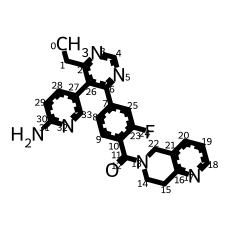 CCc1ncnc(-c2ccc(C(=O)N3CCc4ncccc4C3)c(F)c2)c1-c1ccc(N)nc1